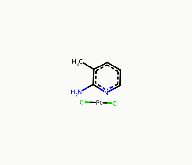 Cc1cccnc1N.[Cl][Pt][Cl]